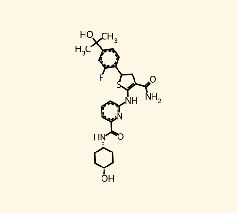 CC(C)(O)c1ccc(C2CC(C(N)=O)=C(Nc3cccc(C(=O)N[C@H]4CC[C@H](O)CC4)n3)S2)c(F)c1